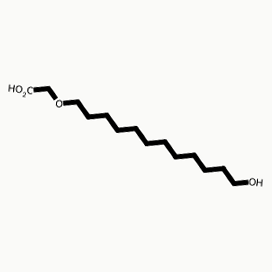 O=C(O)COCCCCCCCCCCCCO